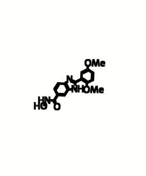 COc1ccc(OC)c(-c2nc3ccc(C(=O)NO)cc3[nH]2)c1